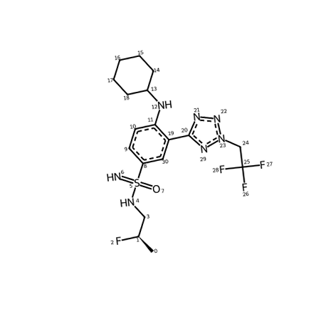 C[C@@H](F)CNS(=N)(=O)c1ccc(NC2CCCCC2)c(-c2nnn(CC(F)(F)F)n2)c1